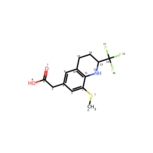 CSc1cc(CC(=O)O)cc2c1NC(C(F)(F)F)CC2